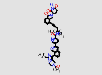 CCc1nc(-c2cccc3cc(-c4ccc(C(=O)NC(C)(C)CC#Cc5cccc6c5CN(C5CCC(=O)NC5=O)C6=O)nc4)ncc23)c2n1CCN(C(C)=O)C2